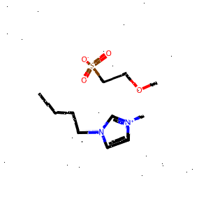 CCCCn1cc[n+](C)c1.COCCS(=O)(=O)[O-]